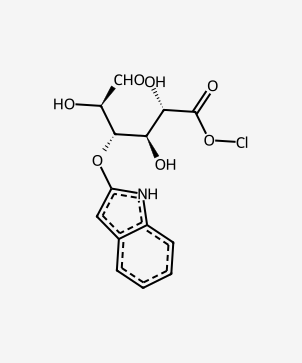 O=C[C@H](O)[C@@H](Oc1cc2ccccc2[nH]1)[C@H](O)[C@H](O)C(=O)OCl